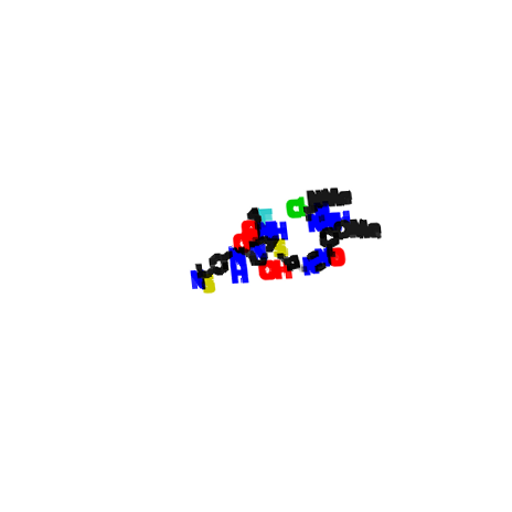 CNc1nc(Nc2ccc(C(=O)N3CCN(C[C@H]4C[C@H](CSC(C)(C)C(NC(=O)C5(F)CC5)C(=O)N5C[C@H](O)C[C@H]5C(=O)NCc5ccc(-c6scnc6C)cc5)C4)CC3)cc2OC)ncc1Cl